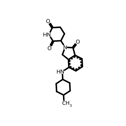 CC1CCC(Nc2cccc3c2CN(C2CCC(=O)NC2=O)C3=O)CC1